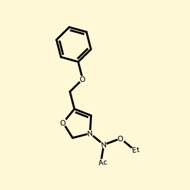 CCON(C(C)=O)N1C=C(COc2ccccc2)OC1